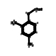 CCCCCOc1ncc(N)cc1N